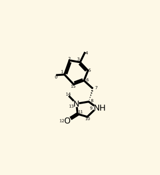 Cc1cc(C)cc(C[C@@H]2NCC(=O)N2C)c1